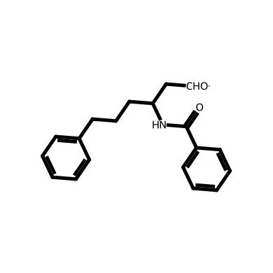 O=[C]CC(CCCc1ccccc1)NC(=O)c1ccccc1